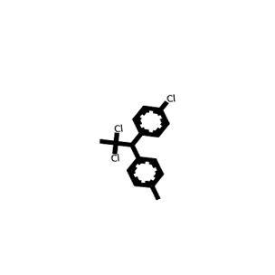 Cc1ccc(C(c2ccc(Cl)cc2)C(C)(Cl)Cl)cc1